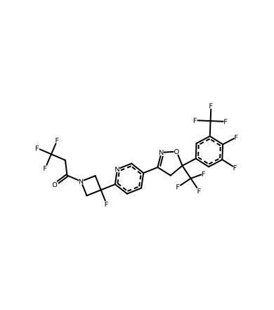 O=C(CC(F)(F)F)N1CC(F)(c2ccc(C3=NOC(c4cc(F)c(F)c(C(F)(F)F)c4)(C(F)(F)F)C3)cn2)C1